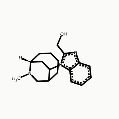 CN1CC2CCCC[C@@H]1CC2n1c(CO)nc2ccccc21